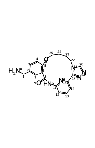 NCc1ccc2c(c1)C(=O)Nc1cccc(n1)-c1nncn1CCCCO2